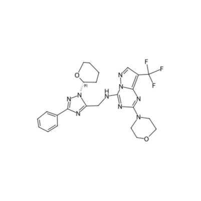 FC(F)(F)c1cnn2c(NCc3nc(-c4ccccc4)nn3[C@H]3CCCCO3)nc(N3CCOCC3)nc12